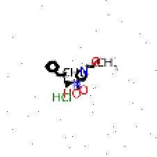 COCCN1CCC(N(C(=O)O)[C@@H]2C[C@H]2/C(C)=C/c2ccccc2)CC1.Cl